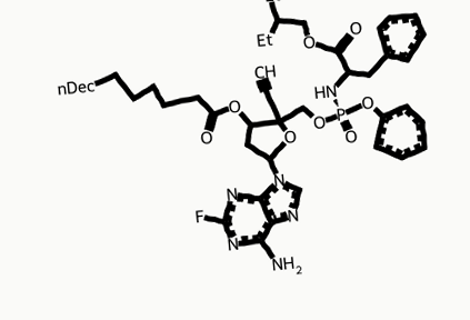 C#CC1(CO[P@@](=O)(NC(Cc2ccccc2)C(=O)OCC(CC)CC)Oc2ccccc2)OC(n2cnc3c(N)nc(F)nc32)CC1OC(=O)CCCCCCCCCCCCCCC